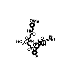 CCN(CC)CCNC(=O)c1c(C)[nH]c(/C=C2\C(=O)N(C(=O)CC[C@H](NC(=O)CCC(=O)NCc3ccc(OC)cc3)C(=O)O)c3ccc(F)cc32)c1C